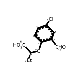 CC[C@H](Oc1ccc(Cl)cc1C=O)C(=O)O